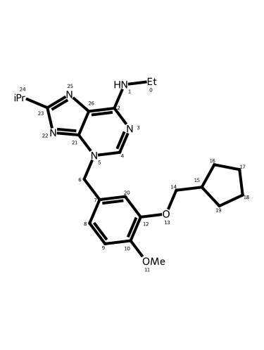 CCNc1ncn(Cc2ccc(OC)c(OCC3CCCC3)c2)c2nc(C(C)C)nc1-2